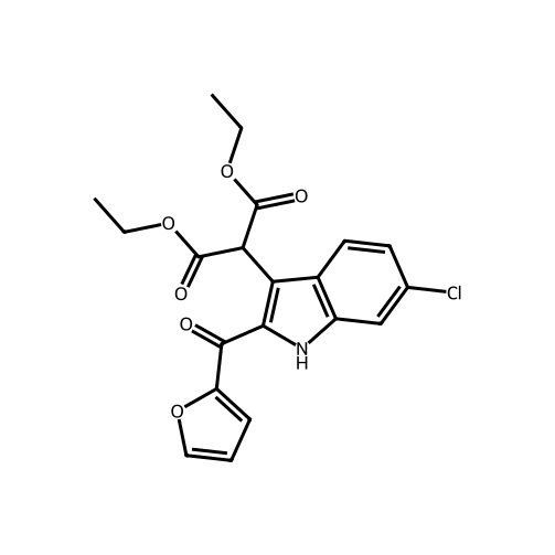 CCOC(=O)C(C(=O)OCC)c1c(C(=O)c2ccco2)[nH]c2cc(Cl)ccc12